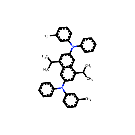 Cc1cccc(N(c2ccccc2)c2cc(C(C)C)c3cc(N(c4ccccc4)c4cccc(C)c4)cc(C(C)C)c3c2)c1